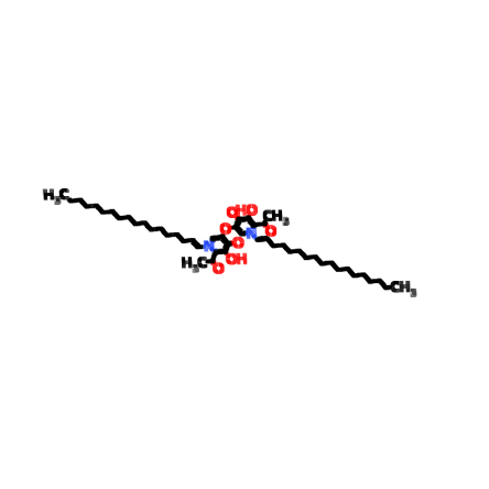 CCCCCCCCCCCCCCCCC=Cn1cc(Oc2cn(C=CCCCCCCCCCCCCCCCC)c(C(C)=O)c(O)c2=O)c(=O)c(O)c1C(C)=O